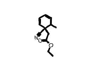 CCOC(=O)CC1(C#N)C=CC=CC1C